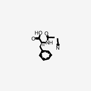 CC#N.CC(=O)N[C@@H](Cc1ccccc1)C(=O)O